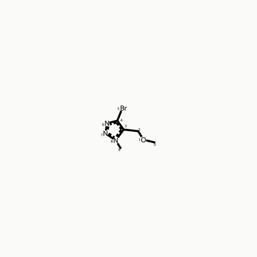 COCc1c(Br)nnn1C